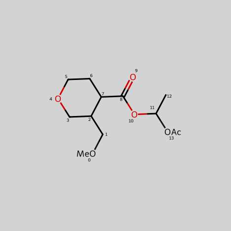 COCC1COCCC1C(=O)OC(C)OC(C)=O